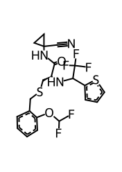 N#CC1(NC(=O)[C@H](CSCc2ccccc2OC(F)F)NC(c2cccs2)C(F)(F)F)CC1